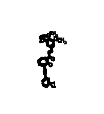 COc1cc(C=CC(=O)N2CCC=C(C#Cc3cccc(Cl)c3)C2=O)cc(OC)c1OC